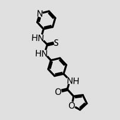 O=C(Nc1ccc(NC(=S)Nc2cccnc2)cc1)c1ccco1